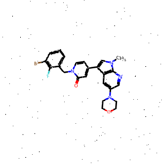 Cn1cc(-c2ccn(Cc3cccc(Br)c3F)c(=O)c2)c2cc(N3CCOCC3)cnc21